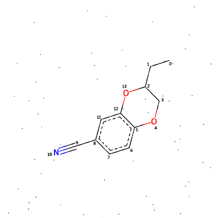 CCC1COc2ccc(C#N)cc2O1